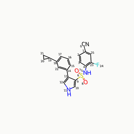 N#Cc1ccc(NS(=O)(=O)c2c[nH]cc2-c2cccc(C3CC3)c2)c(F)c1